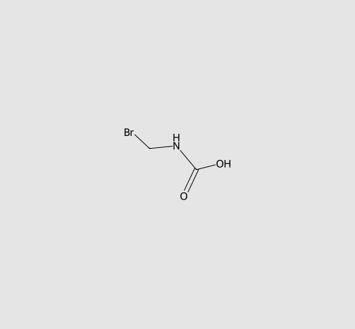 O=C(O)NCBr